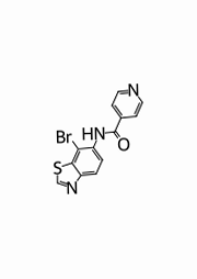 O=C(Nc1ccc2ncsc2c1Br)c1ccncc1